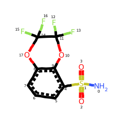 NS(=O)(=O)c1cccc2c1OC(F)(F)C(F)(F)O2